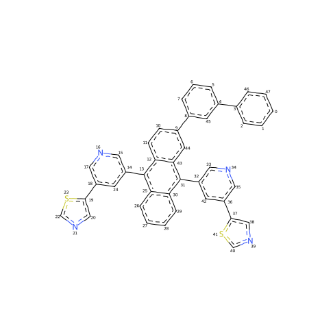 c1ccc(-c2cccc(-c3ccc4c(-c5cncc(-c6cncs6)c5)c5ccccc5c(-c5cncc(-c6cncs6)c5)c4c3)c2)cc1